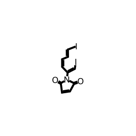 O=C1C=CC(=O)N1C(/C=C\C=C\I)=C/I